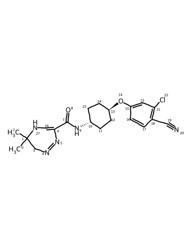 CC1(C)CN=NC(C(=O)N[C@H]2CC[C@H](Oc3ccc(C#N)c(Cl)c3)CC2)=CN1